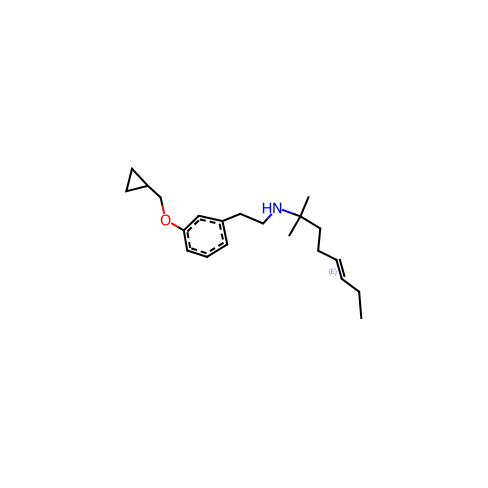 CC/C=C/CCC(C)(C)NCCc1cccc(OCC2CC2)c1